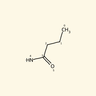 CCCC([NH])=O